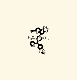 CC[C@@H]1CN(c2cc(=O)n(C)c3ccc(C#N)nc23)[C@@H](C)CN1C(c1ccc(OC(F)(F)F)cc1)c1ccccn1